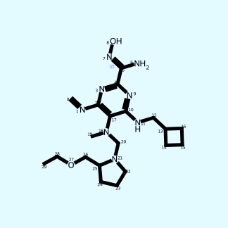 C=Nc1nc(/C(N)=N/O)nc(NCC2CCC2)c1N(C)CN1CCCC1COCC